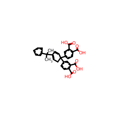 CC(C)(C1=CCC(c2ccc(C(=O)O)c(C(=O)O)c2)(c2ccc(C(=O)O)c(C(=O)O)c2)C=C1)c1ccccc1